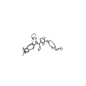 Cn1cc2cc(NC(=O)c3coc(N4CC[C@H](N)C4)n3)c(N3CCCCC3)cc2n1